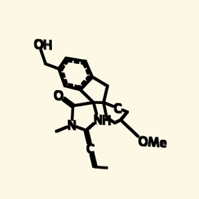 CC=C=C1NC2(C(=O)N1C)c1cc(CO)ccc1CC21CCC(OC)CC1